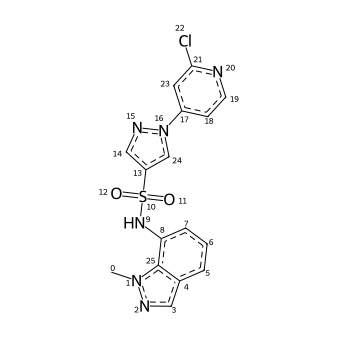 Cn1ncc2cccc(NS(=O)(=O)c3cnn(-c4ccnc(Cl)c4)c3)c21